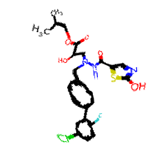 CC(C)COC(=O)C(O)CN(Cc1ccc(-c2cc(Cl)ccc2F)cc1)NC(=O)c1cnc(O)s1